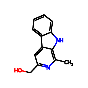 Cc1nc(CO)cc2c1[nH]c1ccccc12